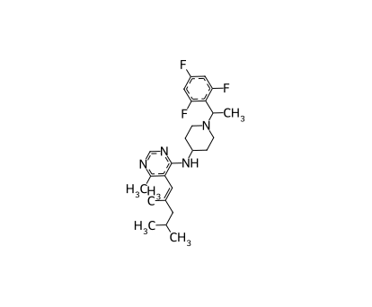 C/C(=C\c1c(C)ncnc1NC1CCN(C(C)c2c(F)cc(F)cc2F)CC1)CC(C)C